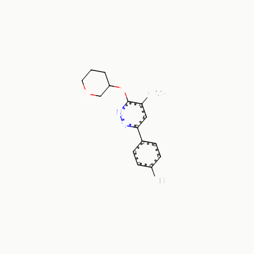 COc1cc(-c2ccc(C=O)cc2)nnc1OC1CCCOC1